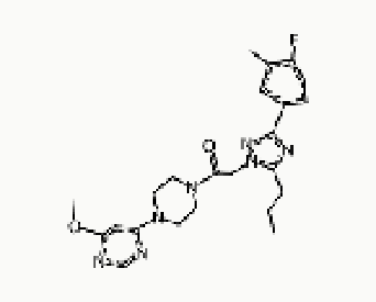 CCCc1nc(-c2ccc(F)c(C)c2)nn1CC(=O)N1CCN(c2cc(OC)ncn2)CC1